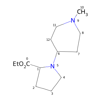 CCOC(=O)C1CCCN1C1CCN(C)CC1